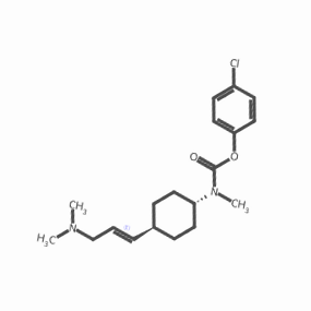 CN(C)C/C=C/[C@H]1CC[C@H](N(C)C(=O)Oc2ccc(Cl)cc2)CC1